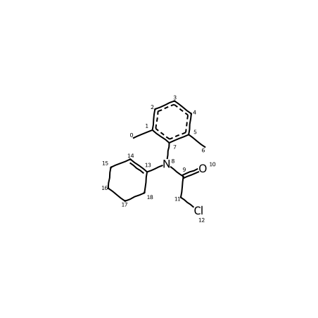 Cc1cccc(C)c1N(C(=O)CCl)C1=CCCCC1